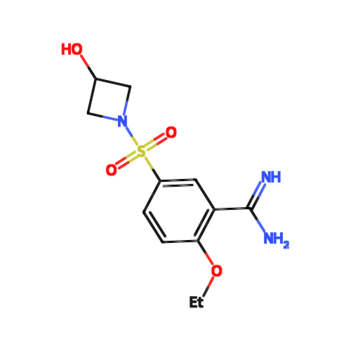 CCOc1ccc(S(=O)(=O)N2CC(O)C2)cc1C(=N)N